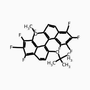 COc1ccc2c(F)c(F)c(F)c(F)c2c1-c1c(OC(C)(C)C)ccc2c(F)c(F)c(F)c(F)c12